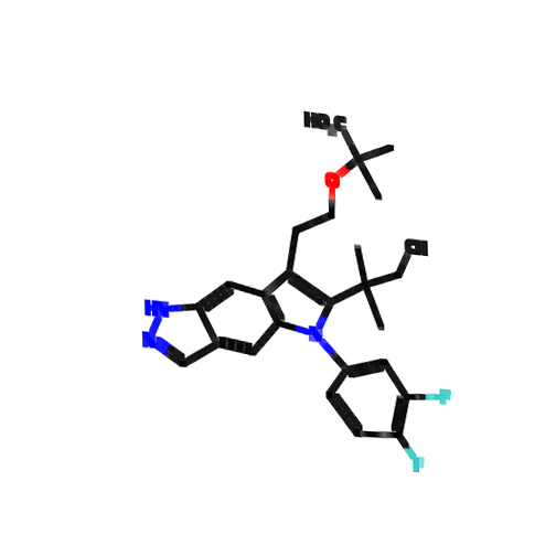 CC(C)(OCCc1c(C(C)(C)CC#N)n(-c2ccc(F)c(F)c2)c2cc3cn[nH]c3cc12)C(=O)O